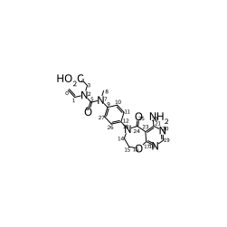 C=CN(CC(=O)O)C(=O)N(C)c1ccc(N2CCOc3ncnc(N)c3C2=O)cc1